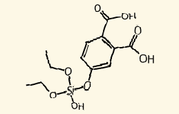 CCO[Si](O)(OCC)Oc1ccc(C(=O)O)c(C(=O)O)c1